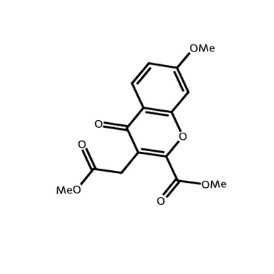 COC(=O)Cc1c(C(=O)OC)oc2cc(OC)ccc2c1=O